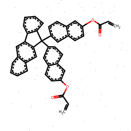 C=CC(=O)Oc1ccc2cc(C3(c4ccc5cc(OC(=O)C=C)ccc5c4)c4ccccc4-c4cc5ccccc5cc43)ccc2c1